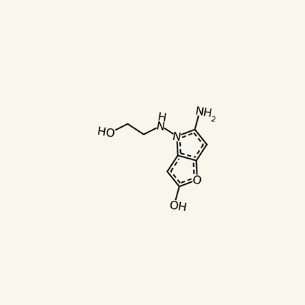 Nc1cc2oc(O)cc2n1NCCO